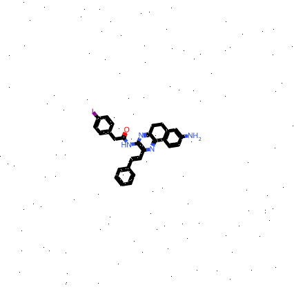 Nc1ccc2c(c1)CCc1nc(NC(=O)Cc3ccc(I)cc3)c(/C=C/c3ccccc3)nc1-2